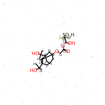 CC(C)(O)C12CC3CC(OCC(=O)OC(O)C(F)(F)S(=O)(=O)O)(C1)CC(C(C)(C)O)(C3)C2